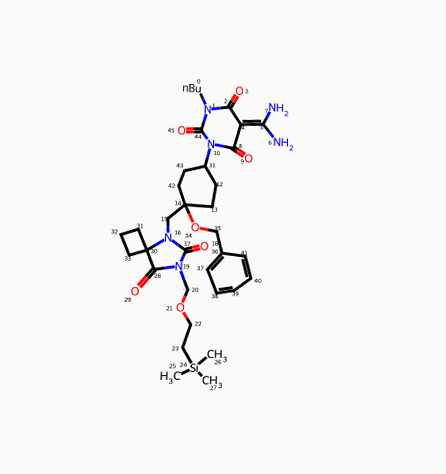 CCCCN1C(=O)C(=C(N)N)C(=O)N(C2CCC(CN3C(=O)N(COCC[Si](C)(C)C)C(=O)C34CCC4)(OCc3ccccc3)CC2)C1=O